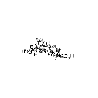 C[C@@H]1CN2C(=O)c3cc(F)c(-c4ccc(F)c5sc(NC(=O)OC(C)(C)C)c(C#N)c45)c(Cl)c3OCC[C@H]2CN1C(=O)O